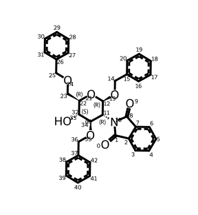 O=C1c2ccccc2C(=O)N1[C@H]1[C@H](OCc2ccccc2)O[C@H](COCc2ccccc2)[C@@H](O)[C@@H]1OCc1ccccc1